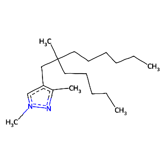 CCCCCCC(C)(CCCCC)Cc1cn(C)nc1C